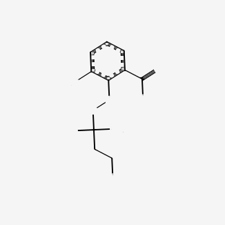 CCCC(C)(C)OOc1c(C)cccc1C(=O)O